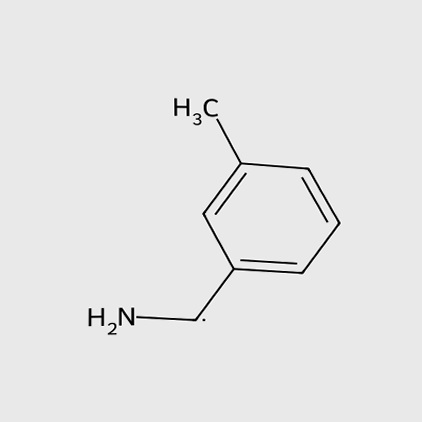 Cc1cccc([CH]N)c1